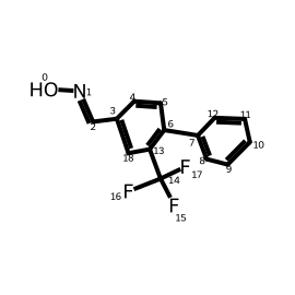 ON=Cc1ccc(-c2ccccc2)c(C(F)(F)F)c1